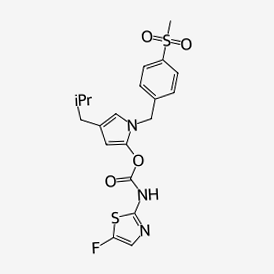 CC(C)Cc1cc(OC(=O)Nc2ncc(F)s2)n(Cc2ccc(S(C)(=O)=O)cc2)c1